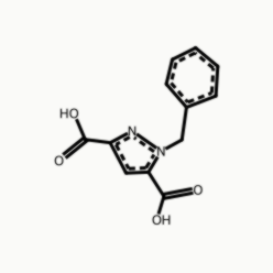 O=C(O)c1cc(C(=O)O)n(Cc2ccccc2)n1